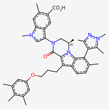 Cc1cc2c(cc1C(=O)O)c(N1C[C@@H](C)n3c(c(CCCOc4cc(C)c(C)c(C)c4)c4ccc(C)c(-c5c(C)nn(C)c5C)c43)C1=O)cn2C